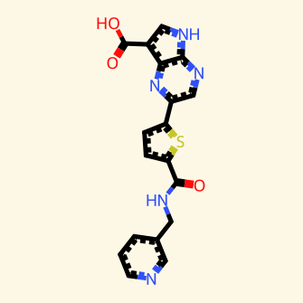 O=C(NCc1cccnc1)c1ccc(-c2cnc3[nH]cc(C(=O)O)c3n2)s1